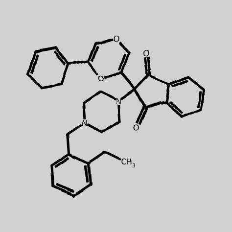 CCc1ccccc1CN1CCN(C2(C3=COC=C(C4=CC=CCC4)O3)C(=O)c3ccccc3C2=O)CC1